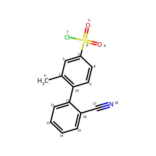 Cc1cc(S(=O)(=O)Cl)ccc1-c1ccccc1C#N